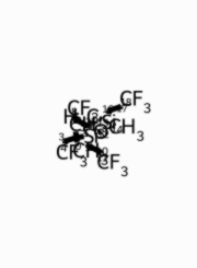 CC(C)(CC(F)(F)F)[Si](CCC(F)(F)F)(CCC(F)(F)F)O[Si](C)(C)CCC(F)(F)F